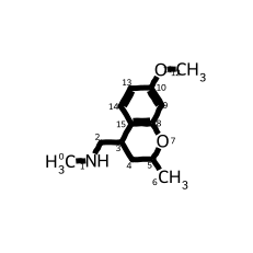 CNCC1CC(C)Oc2cc(OC)ccc21